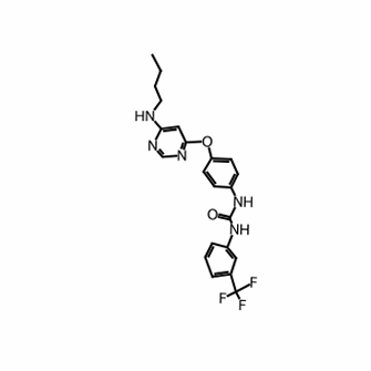 CCCCNc1cc(Oc2ccc(NC(=O)Nc3cccc(C(F)(F)F)c3)cc2)ncn1